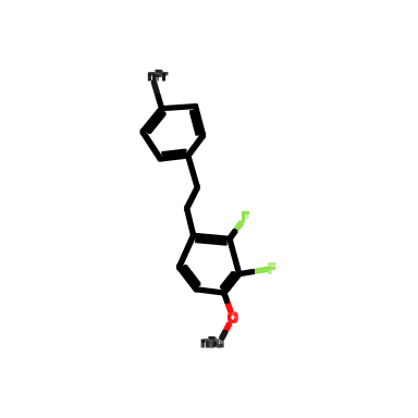 CCCCOc1ccc(CCc2ccc(CCC)cc2)c(F)c1F